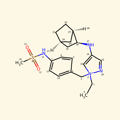 CC[N+]1(Cc2ccc(NS(C)(=O)=O)cc2)C=C(N[C@H]2C[C@H]3CC[C@@H]2C3)C=N1